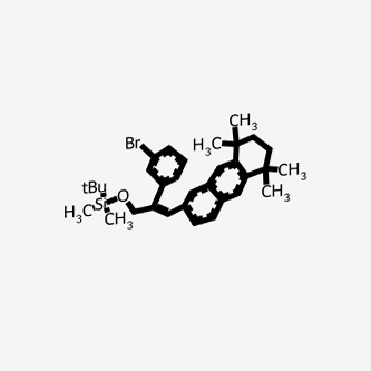 CC1(C)CCC(C)(C)c2cc3cc(C=C(CO[Si](C)(C)C(C)(C)C)c4cccc(Br)c4)ccc3cc21